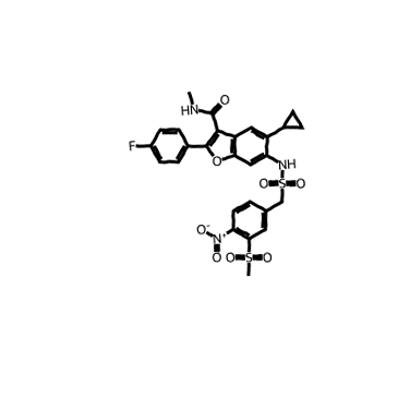 CNC(=O)c1c(-c2ccc(F)cc2)oc2cc(NS(=O)(=O)Cc3ccc([N+](=O)[O-])c(S(C)(=O)=O)c3)c(C3CC3)cc12